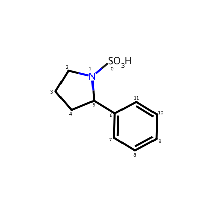 O=S(=O)(O)N1CCCC1c1ccccc1